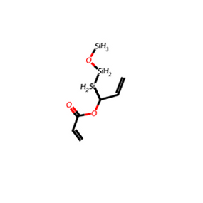 C=CC(=O)OC(C=C)[SiH2][SiH2]O[SiH3]